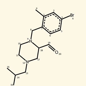 Cc1cc(Br)ccc1CN1CCN(CC(C)C)CC1C=O